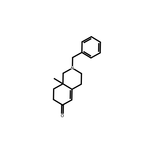 CC12CCC(=O)C=C1CCN(Cc1ccccc1)C2